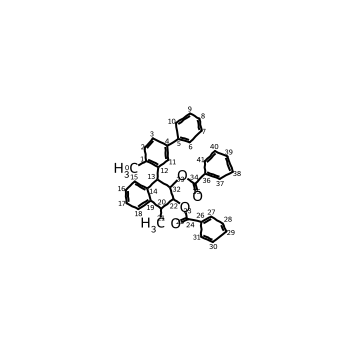 Cc1ccc(-c2ccccc2)cc1C1c2ccccc2C(C)C(OC(=O)c2ccccc2)C1OC(=O)c1ccccc1